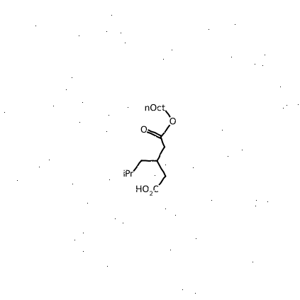 CCCCCCCCOC(=O)CC(CC(=O)O)CC(C)C